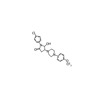 O=C1CC(N2CCN(c3ccc(OC(F)(F)F)cc3)CC2)C(O)N1c1ccc(Cl)cc1